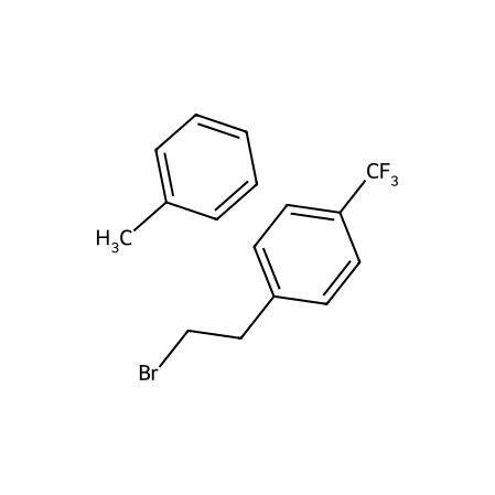 Cc1ccccc1.FC(F)(F)c1ccc(CCBr)cc1